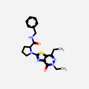 CCc1nn(CC)c(=O)c2nc(N3CCCC3C(=O)NCc3ccccc3)sc12